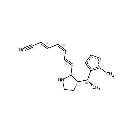 C#C/C=C/C=C\C=C\C1NCC[C@H]1[C@H](C)c1cccn1C